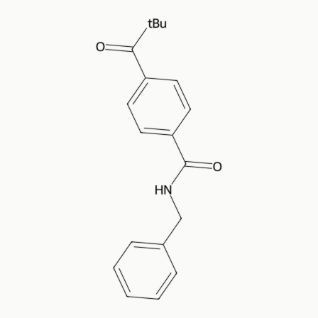 CC(C)(C)C(=O)c1ccc(C(=O)NCc2ccccc2)cc1